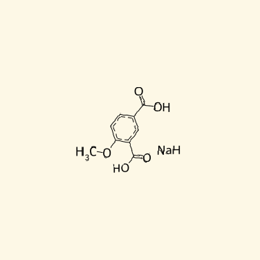 COc1ccc(C(=O)O)cc1C(=O)O.[NaH]